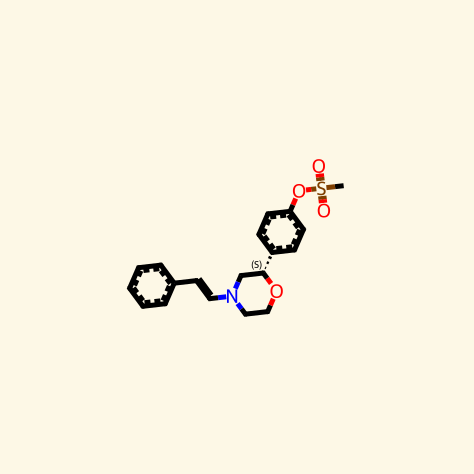 CS(=O)(=O)Oc1ccc([C@H]2CN(C=Cc3ccccc3)CCO2)cc1